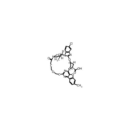 Cc1ccc2c(c1)oc1c3nc(nc12)CCOCCCC(=O)N1CC[C@@H]([C@@H](C)C1)n1c(nc2cc(Cl)ccc21)O[C@H]1C[C@@H](C(=O)O)N3C1